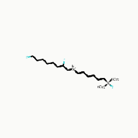 CCCCCCCC[Si](F)(CCCCCCCC)CCCCCC[SiH2]CC(F)CCCCCCF